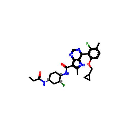 CCC(=O)N[C@@H]1CC[C@@H](NC(=O)c2c(C)[nH]c3c(-c4c(OCC5CC5)ccc(C)c4F)ncnc23)[C@H](F)C1